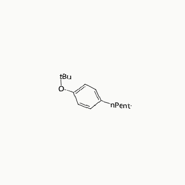 [CH2]CCC[CH]c1ccc(OC(C)(C)C)cc1